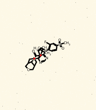 CC(C)(C)OC(=O)N1CC2COCC(C1)C2Oc1ncnc2c1ccn2-c1ccc(S(C)(=O)=O)cc1F